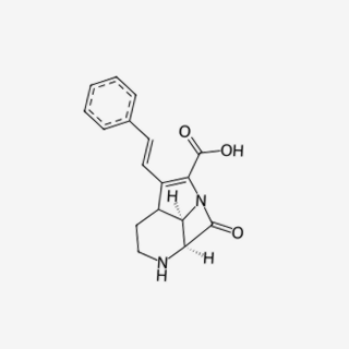 O=C(O)C1=C(/C=C/c2ccccc2)C2CCN[C@@H]3C(=O)N1[C@H]23